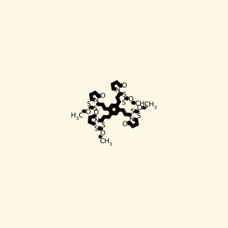 CCOC(=S)SC(CCc1cc(CCC(SC(=S)OCC)N2CCCC2=O)c(CCC(SC(=S)OCC)N2CCCC2=O)cc1CCC(SC(=S)OCC)N1CCCC1=O)N1CCCC1=O